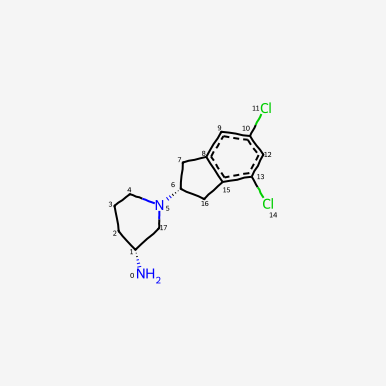 N[C@@H]1CCCN([C@@H]2Cc3cc(Cl)cc(Cl)c3C2)C1